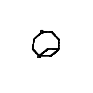 C1CC2CN(CCO1)C2